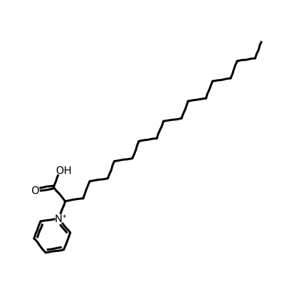 CCCCCCCCCCCCCCCCC(C(=O)O)[n+]1ccccc1